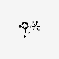 CCCc1ncc[nH]1.F[P-](F)(F)(F)(F)F.[H+]